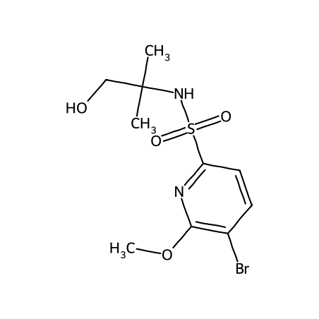 COc1nc(S(=O)(=O)NC(C)(C)CO)ccc1Br